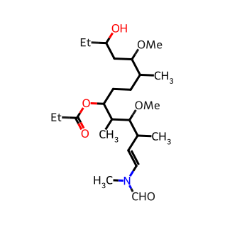 CCC(=O)OC(CCC(C)C(CC(O)CC)OC)C(C)C(OC)C(C)C=CN(C)C=O